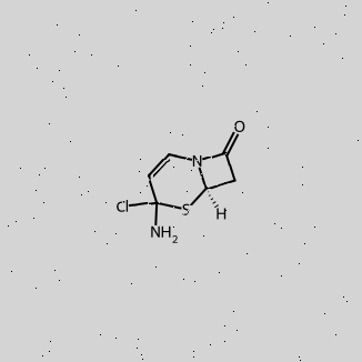 NC1(Cl)C=CN2C(=O)C[C@H]2S1